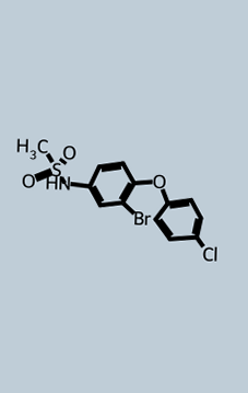 CS(=O)(=O)Nc1ccc(Oc2ccc(Cl)cc2)c(Br)c1